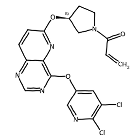 C=CC(=O)N1CC[C@H](Oc2ccc3ncnc(Oc4cnc(Cl)c(Cl)c4)c3n2)C1